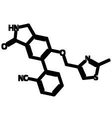 Cc1nc(COc2cc3c(cc2-c2ccccc2C#N)C(=O)NC3)cs1